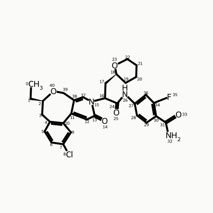 CC[C@@H]1Cc2ccc(Cl)cc2-c2cc(=O)n(C(C[C@@H]3CCCCO3)C(=O)Nc3ccc(C(N)=O)c(F)c3)cc2CO1